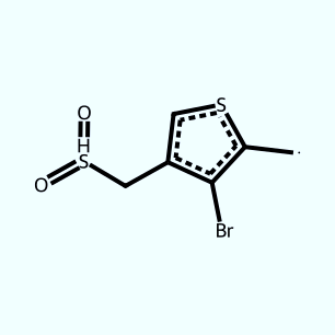 [CH2]c1scc(C[SH](=O)=O)c1Br